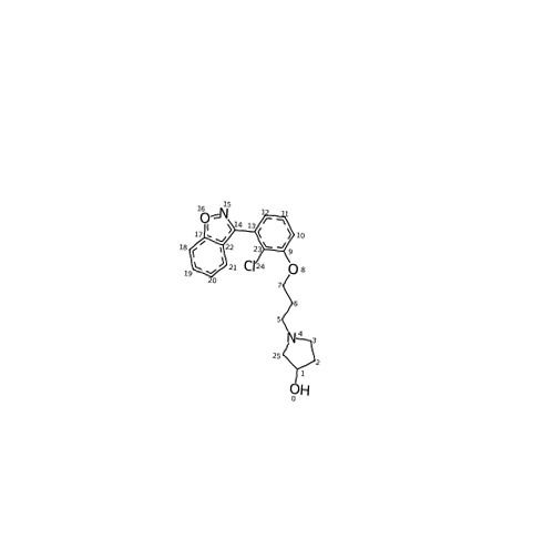 OC1CCN(CCCOc2cccc(-c3noc4ccccc34)c2Cl)C1